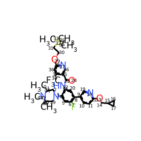 C[C@@H]1CN(c2cc(F)c(-c3ccc(OCC4CC4)nc3)cc2NC(=O)c2cnc(OCCS(C)(C)C)cc2C(F)(F)F)C[C@H](C)N1C